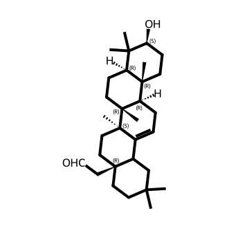 CC1(C)CC[C@]2(CC=O)CC[C@]3(C)C(=CC[C@@H]4[C@@]5(C)CC[C@H](O)C(C)(C)[C@@H]5CC[C@]43C)C2C1